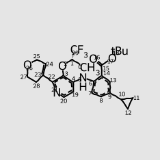 C[C@H](Oc1c(Nc2ccc(C3CC3)cc2C(=O)OC(C)(C)C)ccnc1C1=CCOCC1)C(F)(F)F